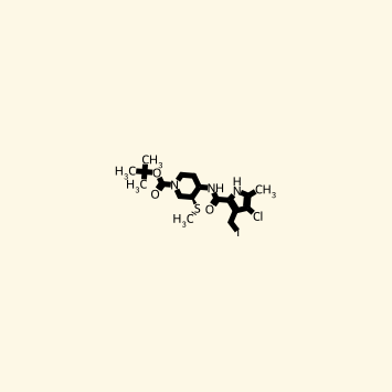 CS[C@H]1CN(C(=O)OC(C)(C)C)CCC1NC(=O)c1[nH]c(C)c(Cl)c1CI